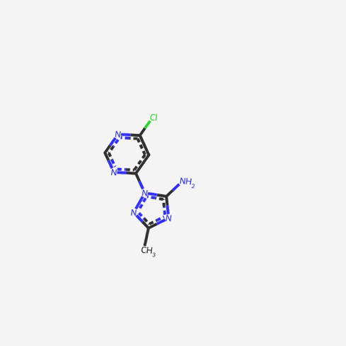 Cc1nc(N)n(-c2cc(Cl)ncn2)n1